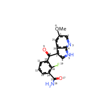 COc1cnc2[nH]cc(C(=O)c3cccc(C(N)=O)c3F)c2c1